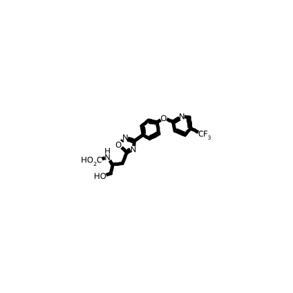 O=C(O)NC(CO)Cc1nc(-c2ccc(Oc3ccc(C(F)(F)F)cn3)cc2)no1